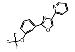 FC(F)(F)Oc1cccc(-c2nc(-c3ccccn3)co2)c1